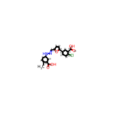 Cc1ccc(N/N=C/c2ccc(-c3ccc(Cl)c(C(=O)O)c3)o2)cc1C(=O)O